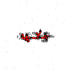 CCOc1ccc(C(=O)N2CCN(c3ccc(-c4cccnc4OCC)nc3CN(CCCOCCOCCOCCOCCNC(=O)[C@@H](CCCCNC(=O)CN3CCN(CC(=O)OC(C)(C)C)CCN(CC(=O)OC(C)(C)C)CCN(CC(=O)OC(C)(C)C)CC3)NC(=O)[C@@H](CCC(=O)OC(C)(C)C)NC(=O)CCCc3ccc(I)cc3)S(=O)(=O)c3ccc([N+](=O)[O-])cc3)[C@H](CC)C2)c(C(F)(F)F)n1